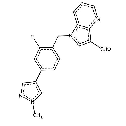 Cn1cc(-c2ccc(Cn3cc(C=O)c4ncccc43)c(F)c2)cn1